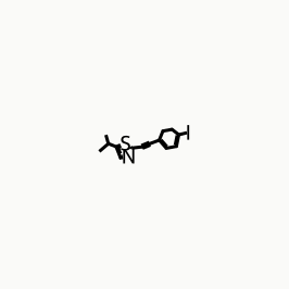 CC(C)c1cnc(C#CC2=CC=C(I)CC2)s1